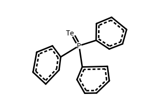 [Te]=P(c1ccccc1)(c1ccccc1)c1ccccc1